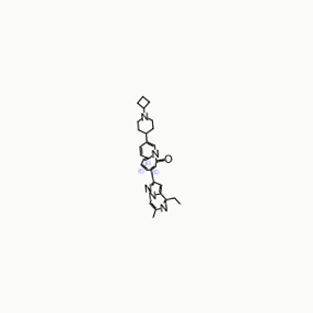 CCc1nc(C)cn2nc(C3=C\C(=O)N4C=C(C5CCN(C6CCC6)CC5)C=C\C4=C/C=C/3)cc12